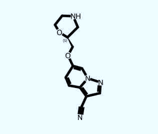 N#Cc1cnn2cc(OC[C@@H]3CNCCO3)ccc12